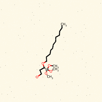 CCCCCCCCCCCCOC(CC[O])[Si](OC)(OC)OC